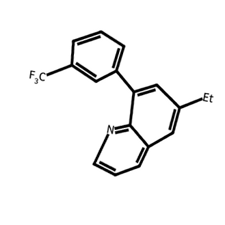 CCc1cc(-c2cccc(C(F)(F)F)c2)c2ncccc2c1